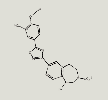 CCCOc1ccc(-c2nc(-c3ccc4c(c3)CCN(C(=O)O)CC4C(C)(C)C)no2)cc1C#N